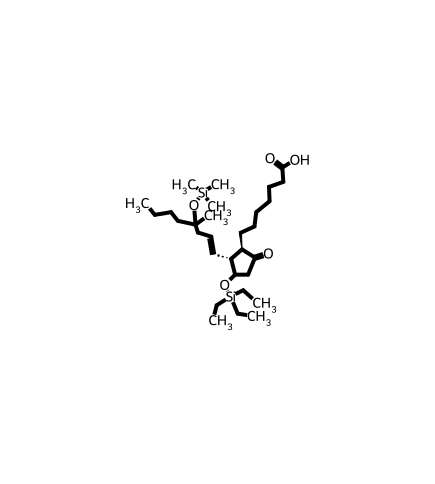 CCCCC(C)(C/C=C/[C@H]1C(O[Si](CC)(CC)CC)CC(=O)[C@@H]1CCCCCCC(=O)O)O[Si](C)(C)C